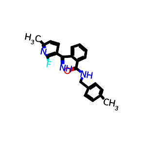 Cc1ccc(CNC(=O)c2ccccc2C(=N)c2ccc(C)nc2F)cc1